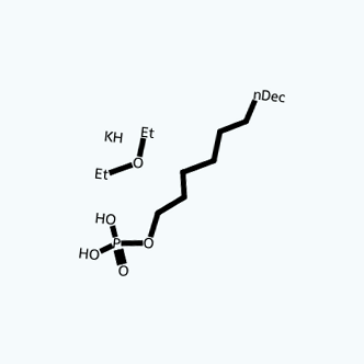 CCCCCCCCCCCCCCCCOP(=O)(O)O.CCOCC.[KH]